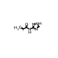 C=CC(=O)Nc1nc[nH]n1